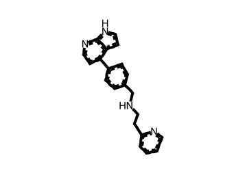 c1ccc(CCNCc2ccc(-c3ccnc4[nH]ccc34)cc2)nc1